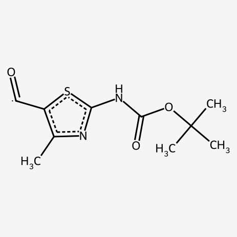 Cc1nc(NC(=O)OC(C)(C)C)sc1[C]=O